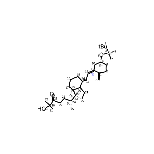 C=C1CC[C@H](O[Si](C)(C)C(C)(C)C)C/C1=C/C=C1CCC[C@@]2(C)C1CC[C@@H]2[C@H](C)CCC(=O)C(C)(C)O